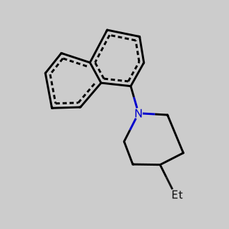 CCC1CCN(c2cccc3ccccc23)CC1